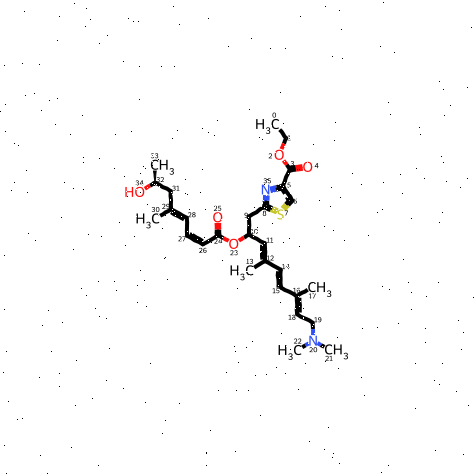 CCOC(=O)c1csc(CC(/C=C(C)/C=C/C(C)=C/CN(C)C)OC(=O)/C=C\C=C(/C)C[C@H](C)O)n1